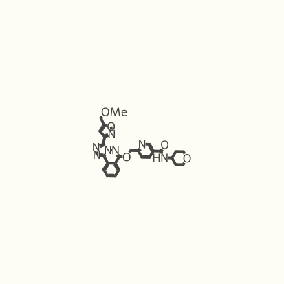 COCc1cc(-c2nnc3c4ccccc4c(OCc4ccc(C(=O)NC5CCOCC5)cn4)nn23)no1